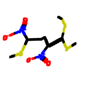 CSC(SC)=C(CC(SC)[N+](=O)[O-])[N+](=O)[O-]